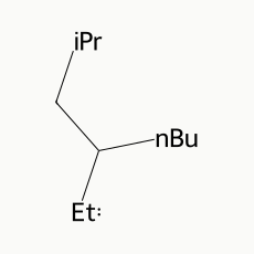 C[C]C(CCCC)CC(C)C